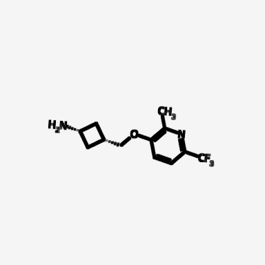 Cc1nc(C(F)(F)F)ccc1OC[C@H]1C[C@@H](N)C1